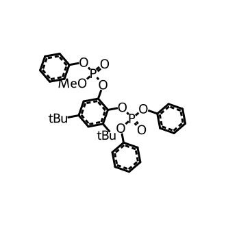 COP(=O)(Oc1ccccc1)Oc1cc(C(C)(C)C)cc(C(C)(C)C)c1OP(=O)(Oc1ccccc1)Oc1ccccc1